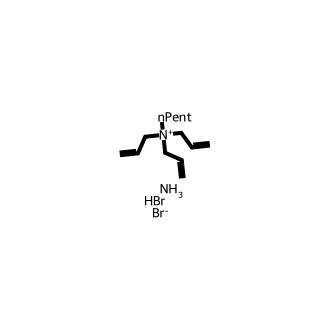 Br.C=CC[N+](CC=C)(CC=C)CCCCC.N.[Br-]